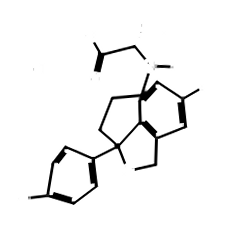 C[C@@H](C(=O)O)N(C)CCCC1(c2ccc(Cl)cc2)OCc2cc(Cl)ccc21.Cl